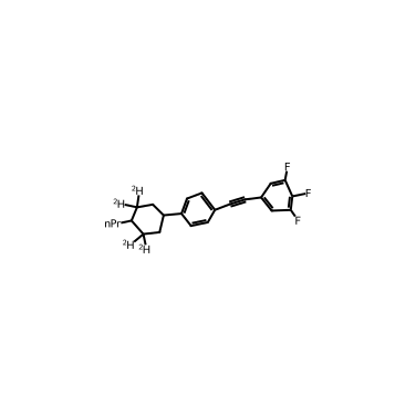 [2H]C1([2H])CC(c2ccc(C#Cc3cc(F)c(F)c(F)c3)cc2)CC([2H])([2H])C1CCC